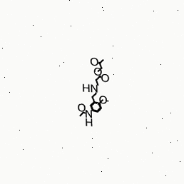 COc1ccc(NC(C)=O)cc1CCNCCC(=O)OCC(C)=O